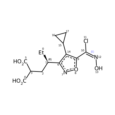 CC[C@H](CC(C(=O)O)C(=O)O)c1noc(/C(Cl)=N\O)c1C1CC1